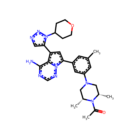 CC(=O)N1[C@H](C)CN(c2cc(C)cc(-c3cc(-c4cnnn4C4CCOCC4)c4c(N)ncnn34)c2)C[C@@H]1C